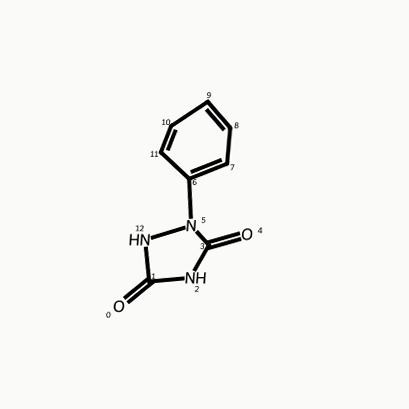 O=c1[nH]c(=O)n(-c2ccccc2)[nH]1